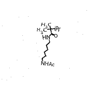 CC(=O)NCCCCCCNC(=O)C(C)(C)C(C)C